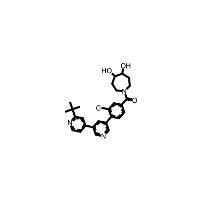 CC(C)(C)c1cc(-c2cncc(-c3ccc(C(=O)N4CCC(O)C(O)CC4)cc3Cl)c2)ccn1